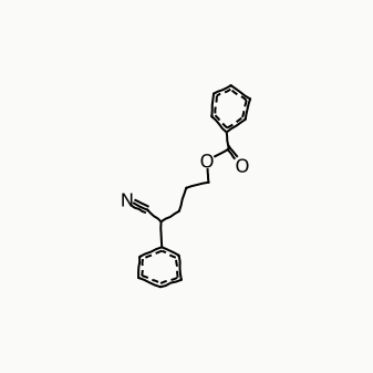 N#CC(CCCOC(=O)c1ccccc1)c1ccccc1